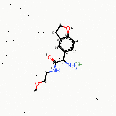 COCCNC(=O)C(N)c1ccc2c(c1)CCO2.Cl